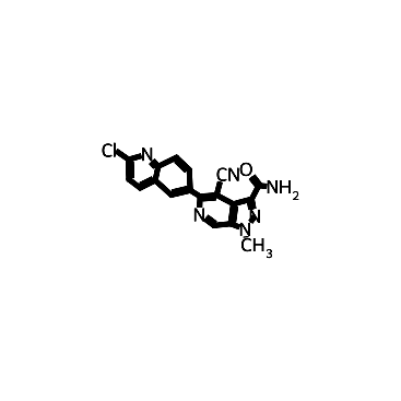 Cn1nc(C(N)=O)c2c(C#N)c(-c3ccc4nc(Cl)ccc4c3)ncc21